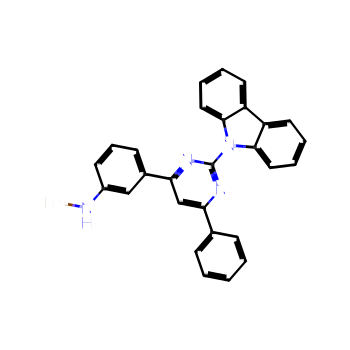 SNc1cccc(-c2cc(-c3ccccc3)nc(-n3c4ccccc4c4ccccc43)n2)c1